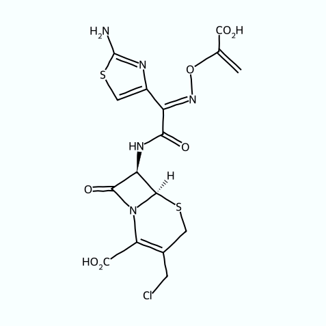 C=C(O/N=C(/C(=O)N[C@@H]1C(=O)N2C(C(=O)O)=C(CCl)CS[C@H]12)c1csc(N)n1)C(=O)O